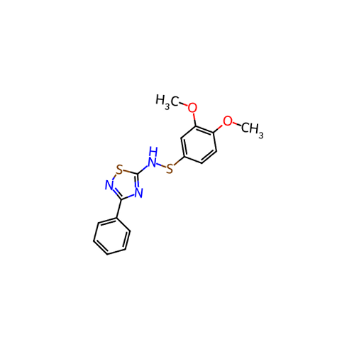 COc1ccc(SNc2nc(-c3ccccc3)ns2)cc1OC